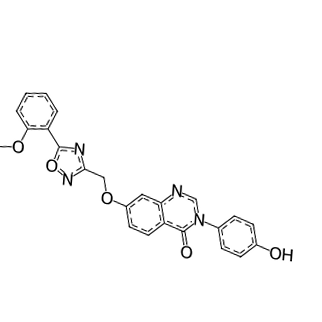 COc1ccccc1-c1nc(COc2ccc3c(=O)n(-c4ccc(O)cc4)cnc3c2)no1